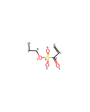 C=CC(=O)S(=O)(=O)OCCC